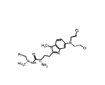 CC(C)C[C@H](NC(=O)[C@@H](N)CCc1nc2cc(N(CCCl)CCCl)ccc2n1C)C(=O)O